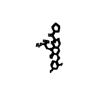 CC(O)Cn1c(=O)c(Oc2ccc(F)cc2F)cc2cnc(NC3CCCC3)nc21